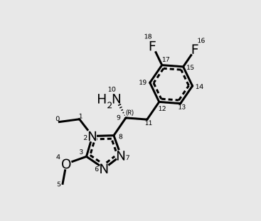 CCn1c(OC)nnc1[C@H](N)Cc1ccc(F)c(F)c1